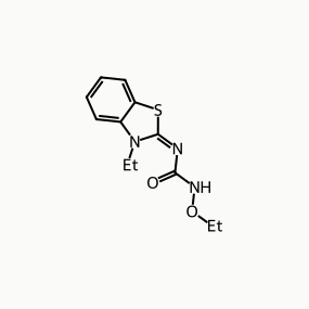 CCONC(=O)N=c1sc2ccccc2n1CC